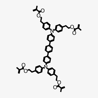 C=C(C)C(=O)OCCc1ccc(N(c2ccc(CCOC(=O)C(=C)C)cc2)c2ccc(-c3ccc(-c4ccc(N(c5ccc(CCOC(=O)C(=C)C)cc5)c5ccc(CCOC(=O)C(=C)C)cc5)cc4)cc3)cc2)cc1